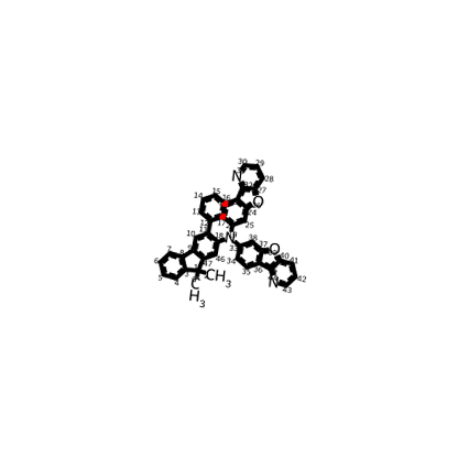 CC1(C)c2ccccc2-c2cc(-c3ccccc3)c(N(c3ccc4c(c3)oc3cccnc34)c3ccc4c(c3)oc3cccnc34)cc21